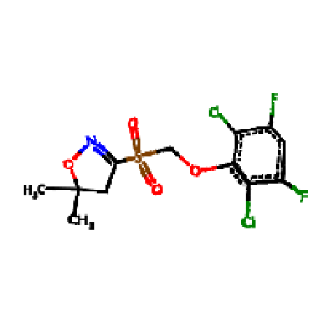 CC1(C)CC(S(=O)(=O)COc2c(Cl)c(F)cc(F)c2Cl)=NO1